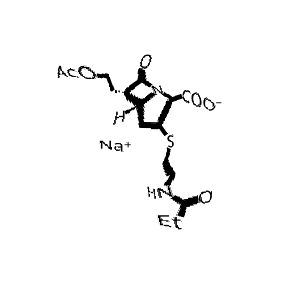 CCC(=O)NC=CSC1=C(C(=O)[O-])N2C(=O)[C@@H](CCOC(C)=O)[C@H]2C1.[Na+]